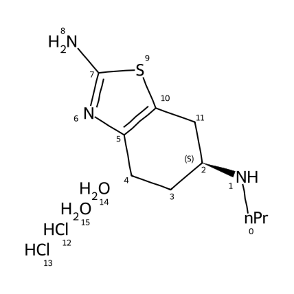 CCCN[C@H]1CCc2nc(N)sc2C1.Cl.Cl.O.O